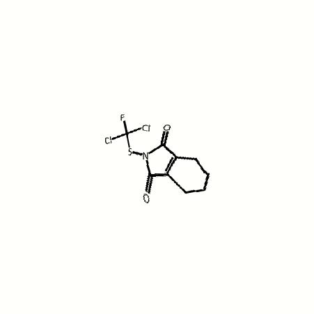 O=C1C2=C(CCCC2)C(=O)N1SC(F)(Cl)Cl